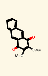 COC1=C(OC)C(=O)c2cc3ccccc3cc2C1=O